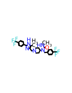 CNC(=O)N(Cc1ccc(C(F)(F)F)cc1)C1CCN(Cc2nc(-c3ccc(C(F)(F)F)cc3)[nH]c2C)CC1